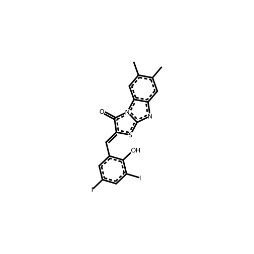 Cc1cc2nc3s/c(=C\c4cc(I)cc(I)c4O)c(=O)n3c2cc1C